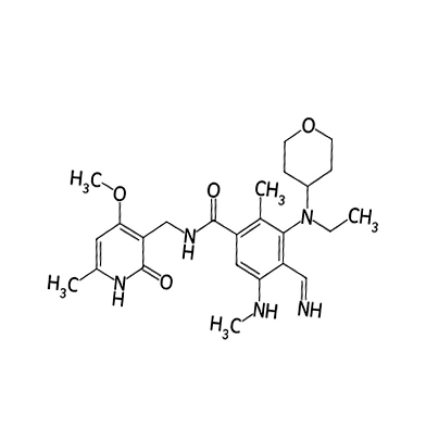 CCN(c1c(C)c(C(=O)NCc2c(OC)cc(C)[nH]c2=O)cc(NC)c1C=N)C1CCOCC1